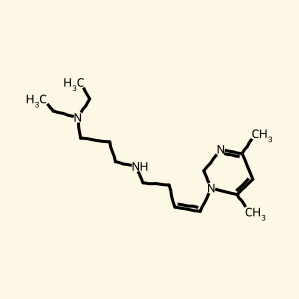 CCN(CC)CCCNCC/C=C\N1CN=C(C)C=C1C